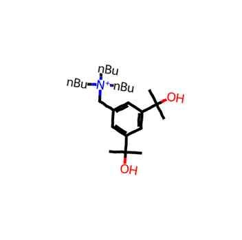 CCCC[N+](CCCC)(CCCC)Cc1cc(C(C)(C)O)cc(C(C)(C)O)c1